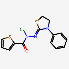 O=C(c1cccs1)N(Cl)N=C1SCCN1c1ccccc1